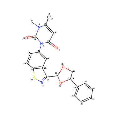 Cn1c(C(F)(F)F)cc(=O)n(-c2ccc3snc(C4OCC(c5ccccc5)O4)c3c2)c1=O